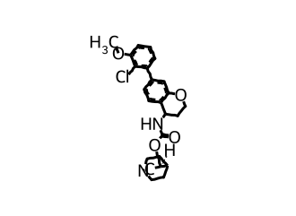 COc1cccc(-c2ccc3c(c2)OCCC3NC(=O)O[C@@H]2CN3CCC2CC3)c1Cl